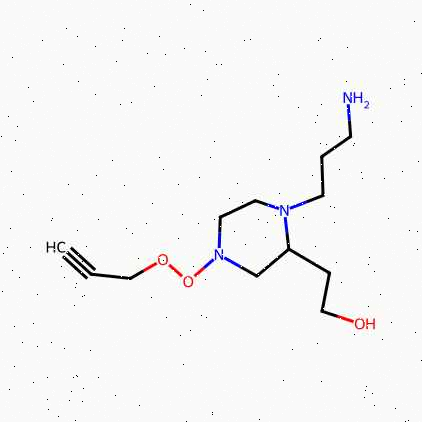 C#CCOON1CCN(CCCN)C(CCO)C1